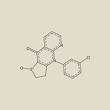 O=c1c2c(n(-c3cccc(Cl)c3)c3ncccc13)CC[S+]2[O-]